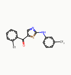 CCc1ccccc1C(=O)c1cnc(Nc2cccc(C(F)(F)F)c2)s1